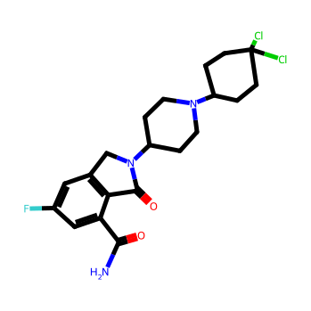 NC(=O)c1cc(F)cc2c1C(=O)N(C1CCN(C3CCC(Cl)(Cl)CC3)CC1)C2